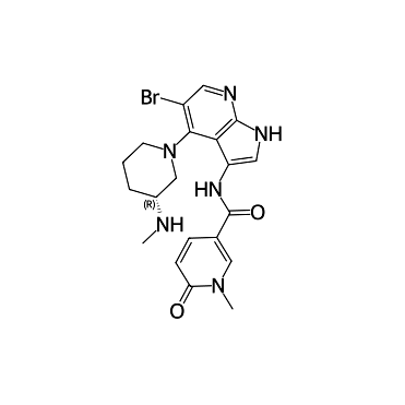 CN[C@@H]1CCCN(c2c(Br)cnc3[nH]cc(NC(=O)c4ccc(=O)n(C)c4)c23)C1